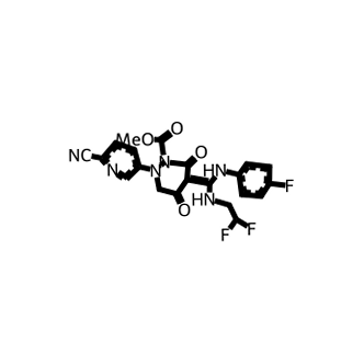 COC(=O)N1C(=O)C(=C(NCC(F)F)Nc2ccc(F)cc2)C(=O)CN1c1ccc(C#N)nc1